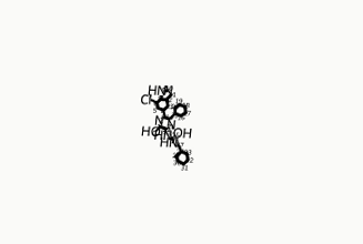 Oc1nc(-c2cc(Cl)c3[nH]ncc3c2)c(-c2ccccc2)nc1NC(O)NCc1ccccc1